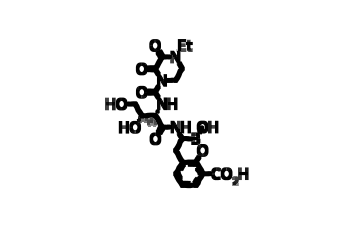 CCN1CCN(C(=O)N[C@H](C(=O)NC2Cc3cccc(C(=O)O)c3OB2O)[C@H](O)CO)C(=O)C1=O